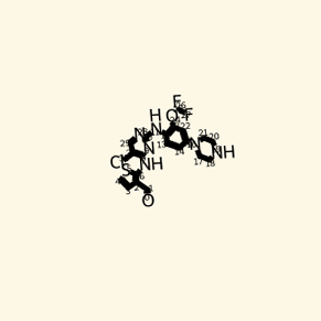 O=Cc1ccsc1Nc1nc(Nc2ccc(N3CCNCC3)cc2OC(F)F)ncc1Cl